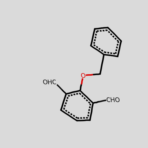 O=Cc1cccc(C=O)c1OCc1ccccc1